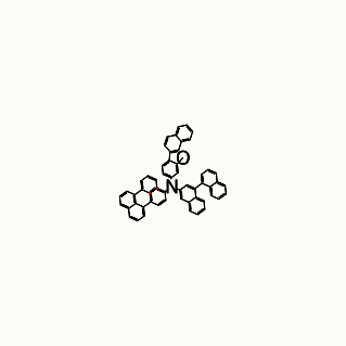 c1ccc(-c2cccc3cccc(-c4ccc(N(c5cc(-c6cccc7ccccc67)c6ccccc6c5)c5ccc6c(c5)oc5c7ccccc7ccc65)cc4)c23)cc1